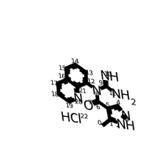 Cc1[nH]ncc1C(=O)N(C(=N)N)c1cccc2cccnc12.Cl